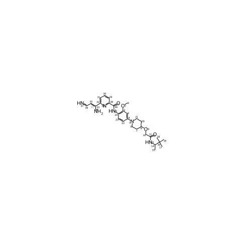 COc1cc(N2CCC(OCC(=O)NC(C)C(C)(C)C)CC2)ccc1NC(=O)c1cccc(/C(N)=C/C=N)n1